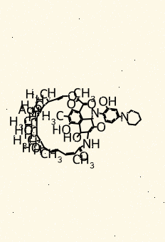 CC(=O)O[C@H]1[C@H](C)[C@H](O)[C@H](C)[C@@H](O)[C@@H](C)/C=C/C=C(/C)C(=O)NC2=C3Oc4cc(N5CCCCC5)cc(O)c4N=C3c3c4c(c(C)c(O)c3C2O)O[C@](C)(O/C=C/[C@H](C)[C@H]1C)C4=O